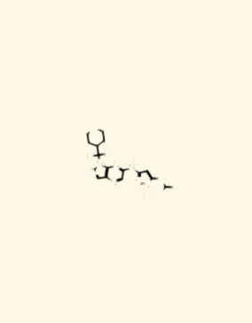 BC(B)(C1CCOCC1)n1ncc2ncc(Nc3cc(OC(F)F)[nH]n3)nc21